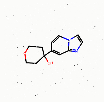 OC1(c2ccn3ccnc3c2)CCOCC1